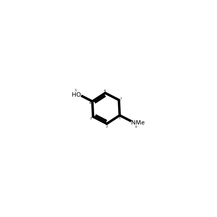 CNC1C=CC(O)=CC1